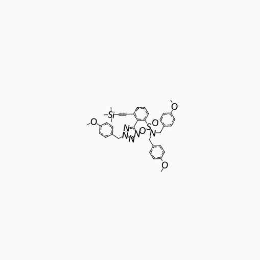 COc1ccc(CN(Cc2ccc(OC)cc2)S(=O)(=O)c2cccc(C#C[Si](C)(C)C)c2-c2nnn(Cc3ccc(OC)cc3)n2)cc1